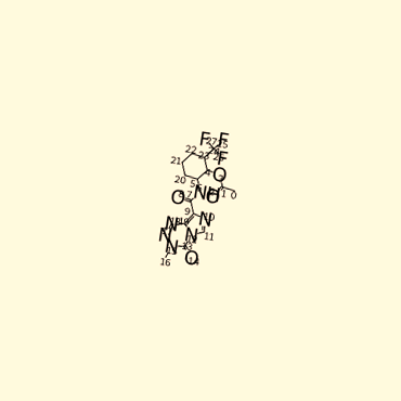 CC(=O)OC1C(NC(=O)c2ncn3c(=O)n(C)nnc23)CCCC1C(F)(F)F